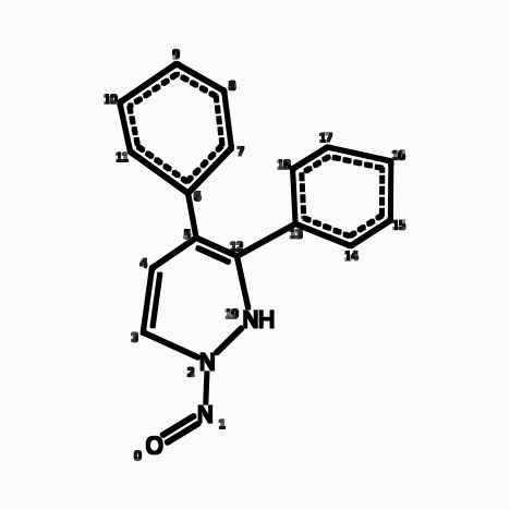 O=NN1C=CC(c2ccccc2)=C(c2ccccc2)N1